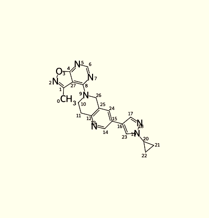 Cc1noc2ncnc(N3CCc4ncc(-c5cnn(C6CC6)c5)cc4C3)c12